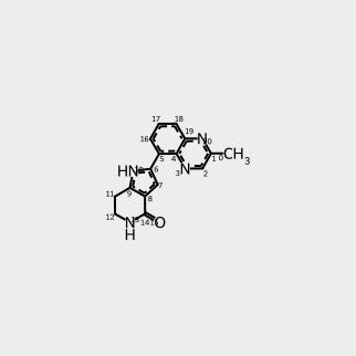 Cc1cnc2c(-c3cc4c([nH]3)CCNC4=O)cccc2n1